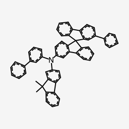 CC1(C)c2ccccc2-c2ccc(N(c3cccc(-c4ccccc4)c3)c3ccc4c(c3)-c3ccccc3C43c4ccccc4-c4ccc(-c5ccccc5)cc43)cc21